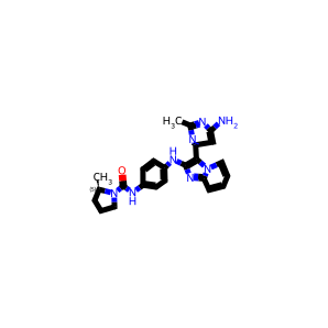 Cc1nc(N)cc(-c2c(Nc3ccc(NC(=O)N4CCC[C@@H]4C)cc3)nc3ccccn23)n1